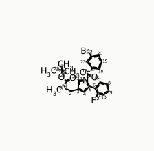 CN(Cc1cc(-c2ccccc2F)n(S(=O)(=O)c2cccc(Br)c2)c1)C(=O)OC(C)(C)C